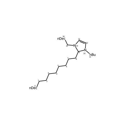 CCCCCCCCCCCCCCCCCCC1N(CCCC)C=CN1CCCCCCCCCCC